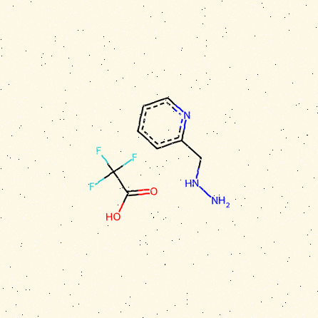 NNCc1ccccn1.O=C(O)C(F)(F)F